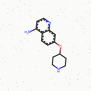 Nc1ccnc2cc(OC3CCNCC3)ccc12